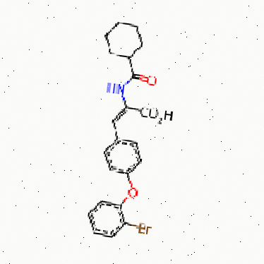 O=C(O)/C(=C\c1ccc(Oc2ccccc2Br)cc1)NC(=O)C1CCCCC1